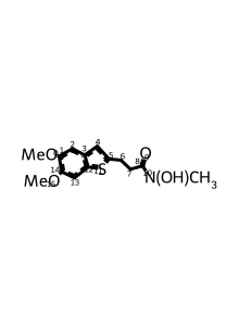 COc1cc2cc(CCC(=O)N(C)O)sc2cc1OC